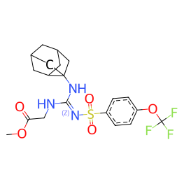 COC(=O)CN/C(=N/S(=O)(=O)c1ccc(OC(F)(F)F)cc1)NC12CC3CC(CC1C3)C2